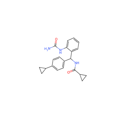 NC(=O)Nc1ccccc1C(NC(=O)C1CC1)c1ccc(C2CC2)cc1